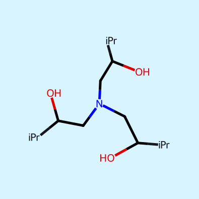 CC(C)C(O)CN(CC(O)C(C)C)CC(O)C(C)C